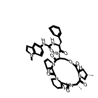 C[C@H]1C[C@H]2C(=O)OC[C@H](NC(=O)[C@H](Cc3ccccc3)NC(=O)Nc3ccc4c(c3)CCN4C)C(=O)N3CCC[C@H]3C(=O)N3CCCC[C@H]3C(=O)N[C@@H](C)C(=O)N2C1